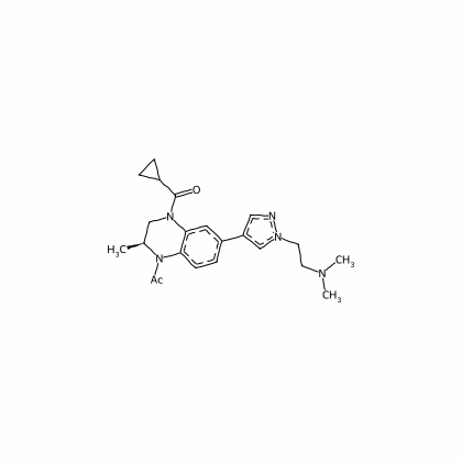 CC(=O)N1c2ccc(-c3cnn(CCN(C)C)c3)cc2N(C(=O)C2CC2)C[C@@H]1C